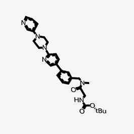 CN(Cc1cccc(-c2ccc(N3CCN(c4cccnc4)CC3)nc2)c1)C(=O)CNC(=O)OC(C)(C)C